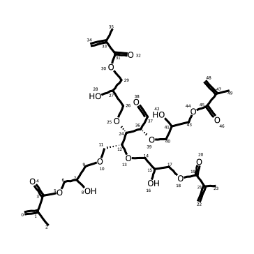 C=C(C)C(=O)OCC(O)COC[C@@H](OCC(O)COC(=O)C(=C)C)[C@H](OCC(O)COC(=O)C(=C)C)[C@H](C=O)OCC(O)COC(=O)C(=C)C